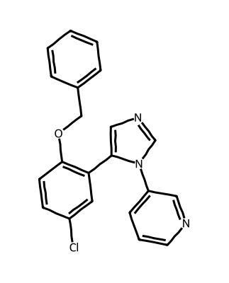 Clc1ccc(OCc2ccccc2)c(-c2cncn2-c2cccnc2)c1